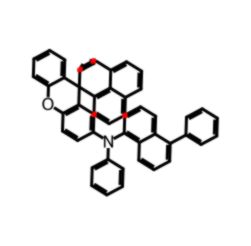 c1ccc(-c2cccc3c(N(c4ccccc4)c4ccc5c(c4)C4(c6ccccc6O5)c5ccccc5-c5cccc6cccc4c56)cccc23)cc1